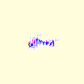 Cc1cc(=O)nc(NC(=O)NCCCCNC(=N)NC(=O)Nc2nc(=O)cc(C)[nH]2)[nH]1